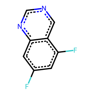 Fc1cc(F)c2cncnc2c1